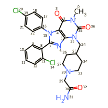 Cn1c(=O)c2c(nc(-c3ccccc3Cl)n2-c2ccc(Cl)cc2)n(CC2CCN(CC(N)=O)CC2)c1=O